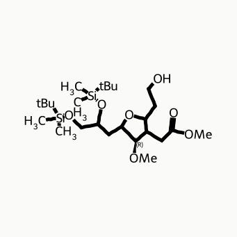 COC(=O)CC1C(CCO)OC(CC(CO[Si](C)(C)C(C)(C)C)O[Si](C)(C)C(C)(C)C)[C@@H]1OC